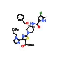 COCCn1ccnc1-c1nc(N2CC[C@@H](NC(=O)c3cc(Cl)c(C)[nH]3)[C@@H](OCc3ccccc3)C2)sc1C(=O)OC